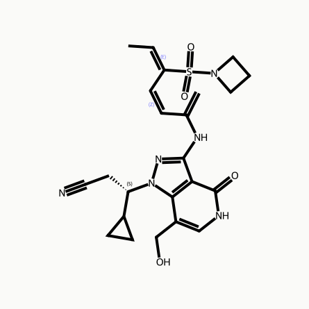 C=C(/C=C\C(=C/C)S(=O)(=O)N1CCC1)Nc1nn([C@@H](CC#N)C2CC2)c2c(CO)c[nH]c(=O)c12